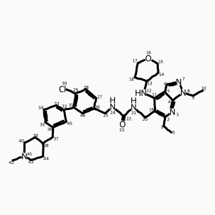 CCc1nc2c(cnn2CC)c(NC2CCOCC2)c1CNC(=O)NCc1ccc(Cl)c(-c2cccc(CC3CCN(C)CC3)c2)c1